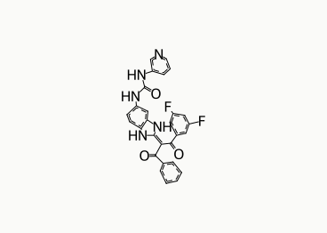 O=C(Nc1cccnc1)Nc1ccc2c(c1)NC(=C(C(=O)c1ccccc1)C(=O)c1cc(F)cc(F)c1)N2